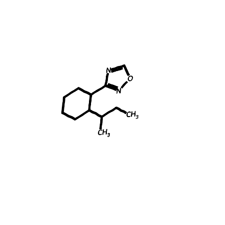 CCC(C)C1CCCCC1c1ncon1